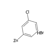 Br.Clc1ccc[c]([Zn])c1